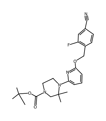 CC(C)(C)OC(=O)N1CCN(c2cccc(OCc3ccc(C#N)cc3F)n2)C(C)(C)C1